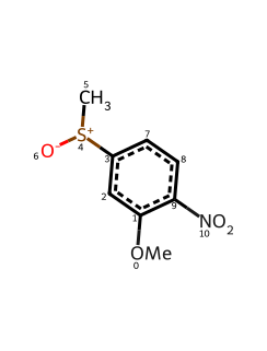 COc1cc([S+](C)[O-])ccc1[N+](=O)[O-]